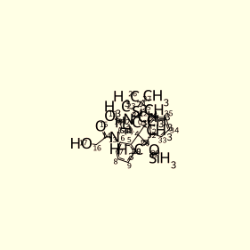 CC(C)(C)C(c1ccccc1)([C@@H]1[C@H](NC(=O)CO)C(=O)N1[Si](C)(C)C(C)(C)C)[C@@](C)(O[SiH3])c1ccccc1